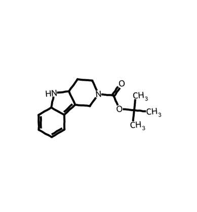 CC(C)(C)OC(=O)N1CCC2NC3C=CC=CC3=C2C1